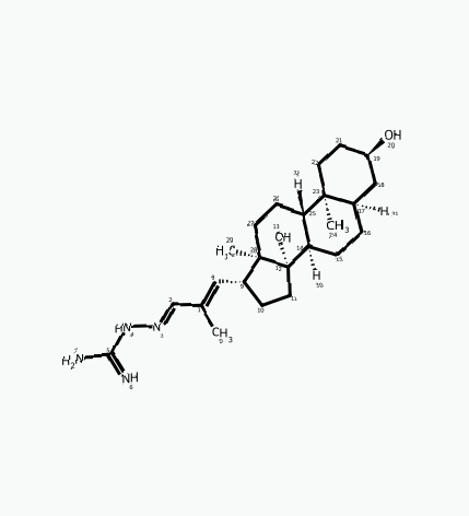 CC(/C=N/NC(=N)N)=C\[C@H]1CC[C@]2(O)[C@@H]3CC[C@@H]4C[C@H](O)CC[C@]4(C)[C@H]3CC[C@]12C